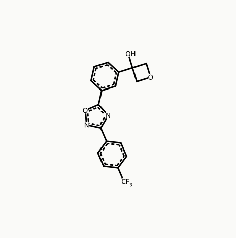 OC1(c2cccc(-c3nc(-c4ccc(C(F)(F)F)cc4)no3)c2)COC1